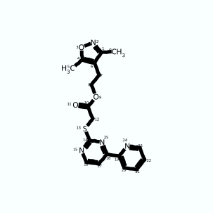 Cc1noc(C)c1CCOC(=O)CSc1nccc(-c2ccccn2)n1